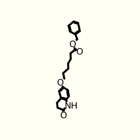 O=C1CCc2cc(OCCCCCCC(=O)OCc3ccccc3)ccc2N1